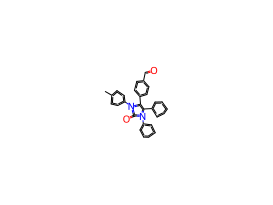 Cc1ccc(-n2c(-c3ccc(C=O)cc3)c(-c3ccccc3)n(-c3ccccc3)c2=O)cc1